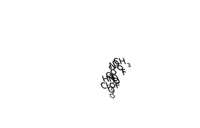 COc1ccc(F)cc1-c1nccc2cc(S(=O)(=O)NC(=O)c3cc(Cl)c(OCC4CCCC4)cc3F)ccc12